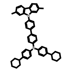 Cc1ccc2c3ccc(C)cc3n(-c3ccc(-c4ccc(N(c5ccc(C6CCCCC6)cc5)c5ccc(C6CCCCC6)cc5)cc4)cc3)c2c1